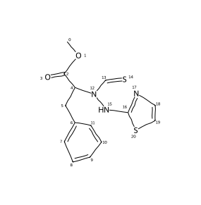 COC(=O)C(Cc1ccccc1)N(C=S)Nc1nccs1